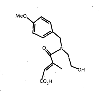 COc1ccc(CN(CCO)C(=O)/C(C)=C/C(=O)O)cc1